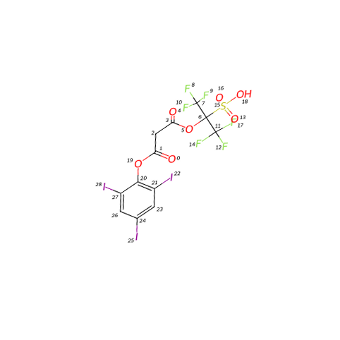 O=C(CC(=O)OC(C(F)(F)F)(C(F)(F)F)S(=O)(=O)O)Oc1c(I)cc(I)cc1I